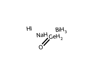 I.[BiH3].[NaH].[O]=[GeH2]